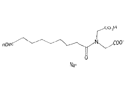 CCCCCCCCCCCCCCCCCC(=O)N(CC(=O)[O-])CC(=O)O.[Na+]